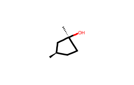 C[C@@H]1CC[C@](C)(O)C1